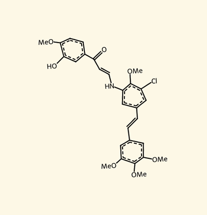 COc1ccc(C(=O)C=CNc2cc(C=Cc3cc(OC)c(OC)c(OC)c3)cc(Cl)c2OC)cc1O